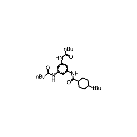 CCCCC(=O)Nc1cc(NC(=O)CCCC)cc(NC(=O)C2CCC(C(C)(C)C)CC2)c1